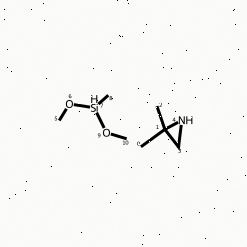 CC1(C)CN1.CO[SiH](C)OC